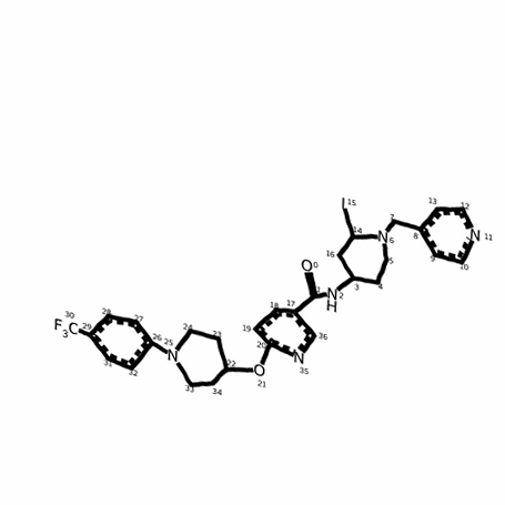 O=C(NC1CCN(Cc2ccncc2)C(I)C1)c1ccc(OC2CCN(c3ccc(C(F)(F)F)cc3)CC2)nc1